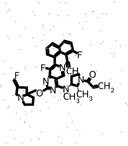 C#Cc1c(F)ccc2cccc(-c3ncc4c(N(C)[C@@H]5CCN(C(=O)C=C)[C@@H]5C)nc(OCC56CCCN5C/C(=C/F)C6)nc4c3F)c12